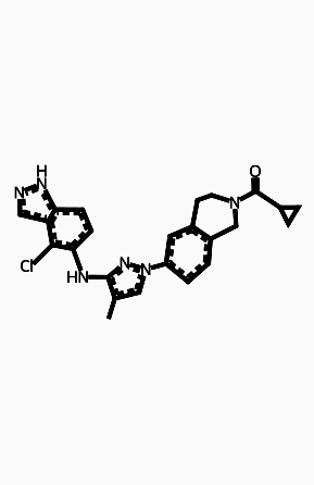 Cc1cn(-c2ccc3c(c2)CCN(C(=O)C2CC2)C3)nc1Nc1ccc2[nH]ncc2c1Cl